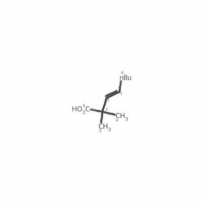 CCCCC=CC(C)(C)C(=O)O